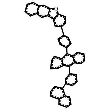 c1cc(-c2cccc3ccccc23)cc(-c2c3ccccc3c(-c3ccc(-c4ccc5oc6cc7ccccc7cc6c5c4)cc3)c3ccccc23)c1